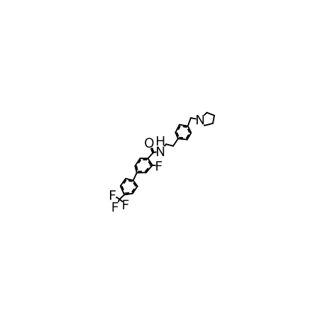 O=C(NCCc1ccc(CN2CCCC2)cc1)c1ccc(-c2ccc(C(F)(F)F)cc2)cc1F